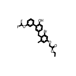 CCOC(=O)COc1cc(C)c(Cc2ccc(O)c(-c3cccc(OC(F)F)c3)c2)c(Br)c1